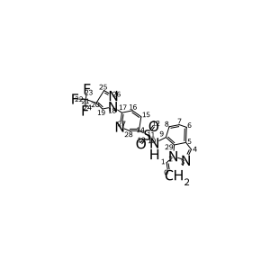 C=Cn1ncc2cccc(NS(=O)(=O)c3ccc(-n4cc(C(F)(F)F)cn4)nc3)c21